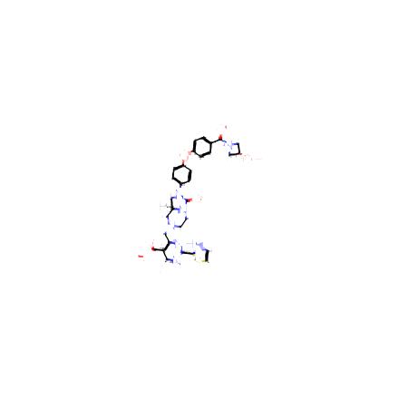 COC(=O)C1=C(CN2CCN3C(=O)N(c4ccc(Oc5ccc(C(=O)N6CC(O)C6)cc5)cc4)C[C@@H]3C2)NC(c2nccs2)=N[C@H]1C